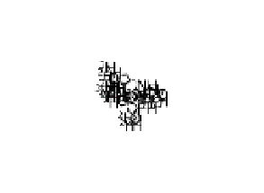 [2H]C([2H])([2H])Oc1ccc(C[C@H](NC(=O)O[C@]2([2H])[C@@H]3CCO[C@@H]3OC2([2H])[2H])[C@H](O)CN(C([2H])([2H])C([2H])(C([2H])([2H])[2H])C([2H])([2H])[2H])S(=O)(=O)c2ccc(OC([2H])([2H])[2H])c(F)c2)cc1